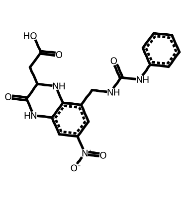 O=C(O)CC1Nc2c(CNC(=O)Nc3ccccc3)cc([N+](=O)[O-])cc2NC1=O